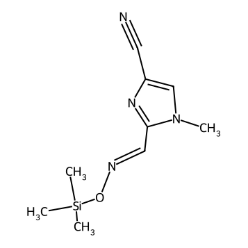 Cn1cc(C#N)nc1C=NO[Si](C)(C)C